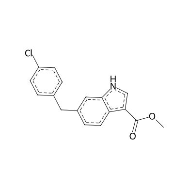 COC(=O)c1c[nH]c2cc(Cc3ccc(Cl)cc3)ccc12